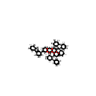 c1ccc(-c2ccccc2-c2c(-c3ccccc3)cccc2N(c2cccc(-c3cccc4c3sc3ccccc34)c2)c2ccc3c(c2)-c2ccccc2C32c3ccccc3-c3ccccc32)cc1